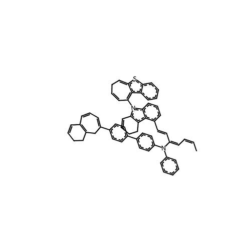 C\C=C/C=C(\C=C\c1cccc2c1c1c(n2C2=c3c(sc4ccccc34)=CCC=C2)C=CCC1)N(c1ccccc1)c1ccc(-c2ccc(C3=CC=CC4=C(CCC=C4)C3)cc2)cc1